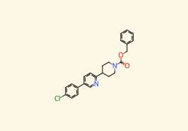 O=C(OCc1ccccc1)N1CCC(c2ccc(-c3ccc(Cl)cc3)cn2)CC1